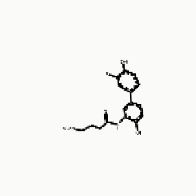 CCCCCCCCCCCCCC(=O)Nc1cc(-c2ccc(O)c(F)c2)ccc1O